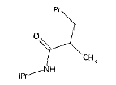 CC(C)CC(C)C(=O)NC(C)C